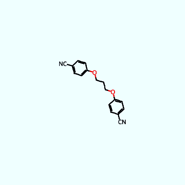 N#Cc1ccc(OCCCOc2ccc(C#N)cc2)cc1